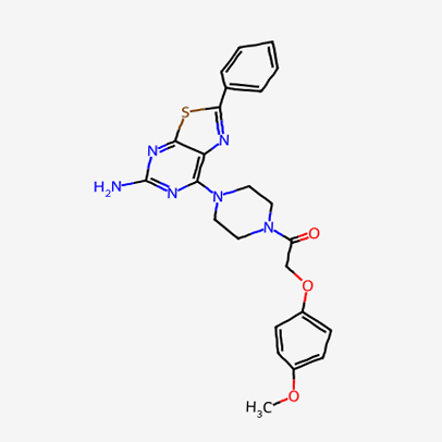 COc1ccc(OCC(=O)N2CCN(c3nc(N)nc4sc(-c5ccccc5)nc34)CC2)cc1